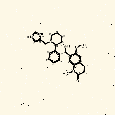 COc1cc2c(cc1CN[C@H]1CCCN(Cc3cnc[nH]3)[C@@H]1c1ccccc1)N(C)C(=O)CC2